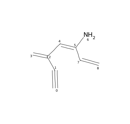 C#CC(=C)/C=C(/N)C=C